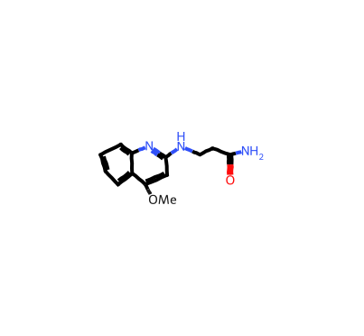 COc1cc(NCCC(N)=O)nc2ccccc12